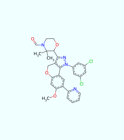 COc1cc2c(cc1-c1ccccn1)-c1c(c(C3OCCN(C=O)C3(C)C)nn1-c1cc(Cl)cc(Cl)c1)CO2